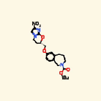 CC(C)(C)OC(=O)N1CCCc2cc(OC[C@@H]3CCn4cc([N+](=O)[O-])nc4O3)ccc2C1